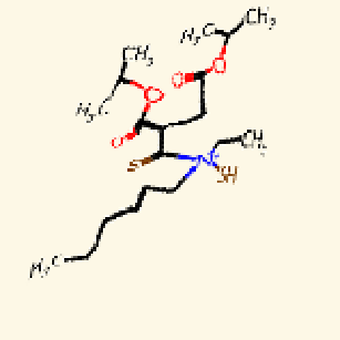 CCCCCC[N+](S)(CC)C(=S)C(CC(=O)OC(C)C)C(=O)OC(C)C